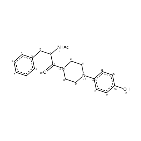 CC(=O)NC(Cc1ccccc1)C(=O)N1CCN(c2ccc(O)cc2)CC1